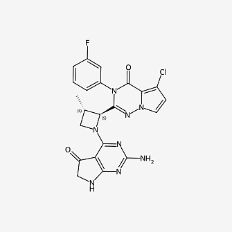 C[C@H]1CN(c2nc(N)nc3c2C(=O)CN3)[C@@H]1c1nn2ccc(Cl)c2c(=O)n1-c1cccc(F)c1